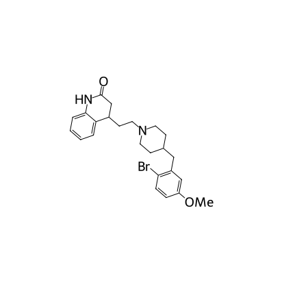 COc1ccc(Br)c(CC2CCN(CCC3CC(=O)Nc4ccccc43)CC2)c1